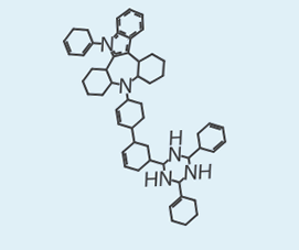 C1=CCCC(n2c3c(c4ccccc42)C2CCCCC2N(C2C=CC(C4C=CCC(C5NC(C6=CCCCC6)NC(C6C=CC=CC6)N5)C4)CC2)C2CCCCC32)=C1